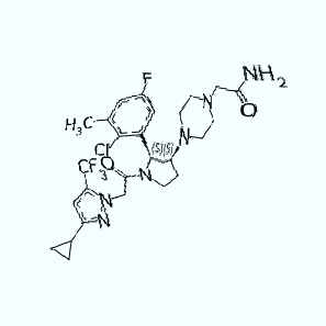 Cc1cc(F)cc([C@H]2[C@@H](N3CCN(CC(N)=O)CC3)CCN2C(=O)Cn2nc(C3CC3)cc2C(F)(F)F)c1Cl